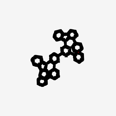 c1ccc(-c2cccc(-c3nc(-c4nc(-c5ccccc5)nc(-n5c6ccccc6c6cccc(-c7ccccc7)c65)n4)ccc3-n3c4ccccc4c4ccccc43)c2)cc1